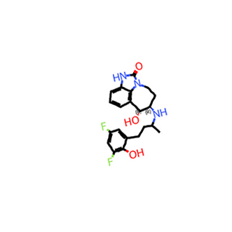 CC(CCc1cc(F)cc(F)c1O)N[C@@H]1CCn2c(=O)[nH]c3cccc(c32)[C@H]1O